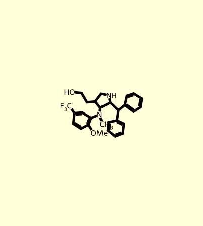 COc1ccc(C(F)(F)F)cc1N(C)C1C(CCO)CNC1C(c1ccccc1)c1ccccc1